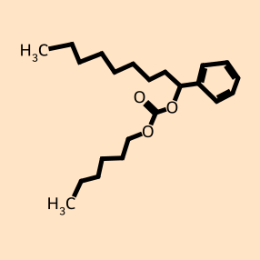 CCCCCCCCC(OC(=O)OCCCCCC)c1ccccc1